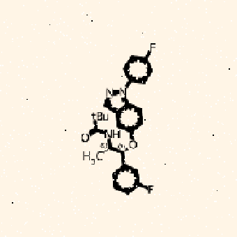 C[C@H](NC(=O)C(C)(C)C)[C@H](Oc1ccc2c(cnn2-c2ccc(F)cc2)c1)c1cccc(F)c1